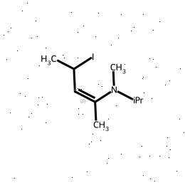 C/C(=C/C(C)I)N(C)C(C)C